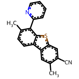 Cc1cc2c(cc1C#N)sc1c(-c3ccccn3)c(C)ccc12